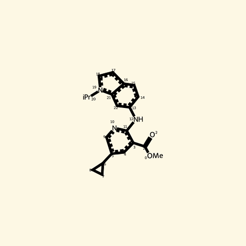 COC(=O)c1cc(C2CC2)cnc1Nc1ccc2ccn(C(C)C)c2c1